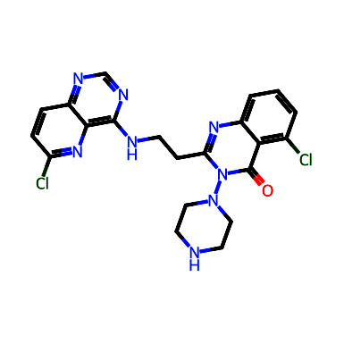 O=c1c2c(Cl)cccc2nc(CCNc2ncnc3ccc(Cl)nc23)n1N1CCNCC1